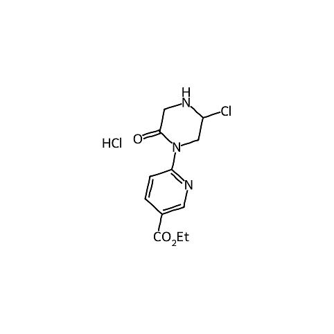 CCOC(=O)c1ccc(N2CC(Cl)NCC2=O)nc1.Cl